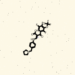 O=C(O)/C(=C\Nc1ccc(CN2CCCC2)cc1)C(=O)c1cc(F)c(F)c(OC(F)(F)Cl)c1F